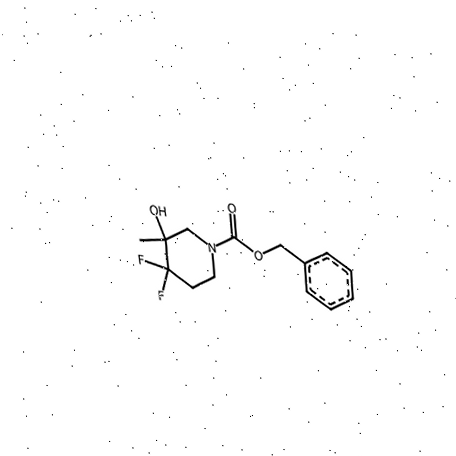 CC1(O)CN(C(=O)OCc2ccccc2)CCC1(F)F